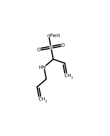 C=CCN[C](C=C)S(=O)(=O)CCCCC